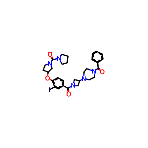 O=C(c1ccccc1)N1CCN(C2CN(C(=O)c3ccc(OC4CCN(C(=O)N5CCCC5)C4)c(I)c3)C2)CC1